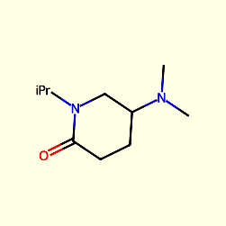 CC(C)N1CC(N(C)C)CCC1=O